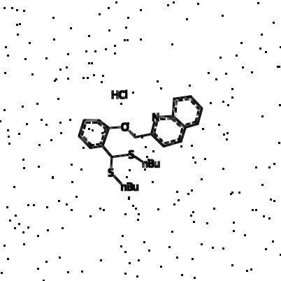 CCCCSC(SCCCC)c1ccccc1OCc1ccc2ccccc2n1.Cl